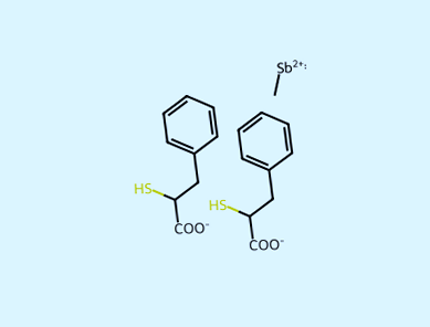 O=C([O-])C(S)Cc1ccccc1.O=C([O-])C(S)Cc1ccccc1.[CH3][Sb+2]